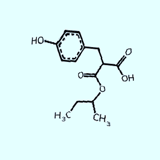 CCC(C)OC(=O)C(Cc1ccc(O)cc1)C(=O)O